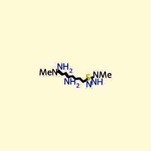 CN/C(N)=C/C=C(\N)CCCCC1=NNC(NC)S1